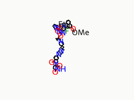 CCc1cccc2cc(OCOC)cc(-c3ncc4c(N5CC6CCC(C5)N6C(=O)OC(C)(C)C)nc(OCC5(CN6CCC7(CC6)CC(C)(N6CCN(c8ccc9c(c8)CN(C8CCC(=O)NC8=O)C9=O)CC6)C7)CC5)nc4c3F)c12